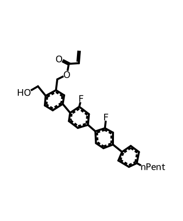 C=CC(=O)OCc1cc(-c2ccc(-c3ccc(-c4ccc(CCCCC)cc4)cc3F)cc2F)ccc1CO